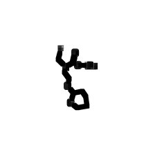 CC(C)(C)OC(=O)N(CF)CCOC1CCCCO1